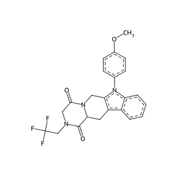 COc1ccc(-n2c3c(c4ccccc42)CC2C(=O)N(CC(F)(F)F)CC(=O)N2C3)cc1